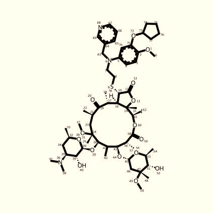 COc1ccc(N(CCS[C@@H]2C(=O)O[C@@]3(C)[C@H]2[C@@H](C)C(=O)[C@H](C)C[C@@](C)(OC)[C@H](O[C@@H]2O[C@H](C)C[C@H](N(C)C)[C@H]2O)C(C)[C@H](O[C@H]2C[C@@](C)(OC)[C@@H](O)[C@H](C)O2)[C@@H](C)C(=O)O[C@@H]3I)Cc2cccnc2)cc1OC1CCCC1